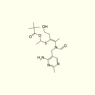 CC(=C(CCO)SC(C)OC(=O)C(C)(C)C)N(C=O)Cc1cnc(C)nc1N